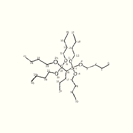 CCCCO[Si](OCCCC)(OCCCC)C(CCC)[Si](OCCCC)(OCCCC)OCCCC